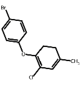 CC1=CC(Cl)=C(Oc2ccc(Br)cc2)CC1